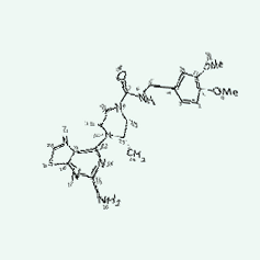 COc1ccc(CNC(=O)N2CCN(c3nc(N)nc4scnc34)[C@@H](C)C2)cc1OC